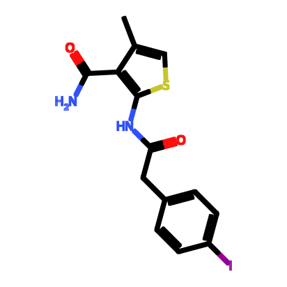 Cc1csc(NC(=O)Cc2ccc(I)cc2)c1C(N)=O